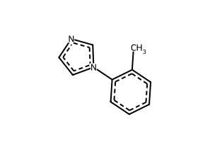 Cc1ccccc1-n1ccnc1